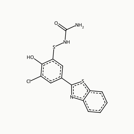 NC(=O)NSc1cc(-c2nc3ccccc3s2)cc(Cl)c1O